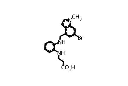 Cn1ccc2c(CNc3ccccc3NCCC(=O)O)cc(Br)cc21